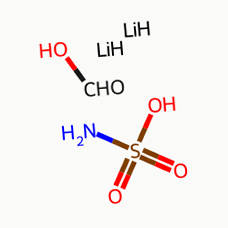 NS(=O)(=O)O.O=CO.[LiH].[LiH]